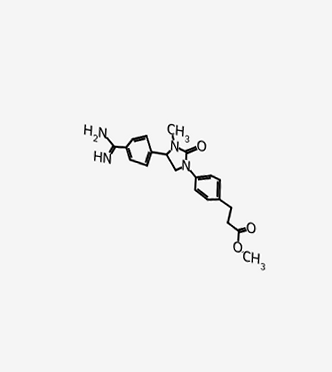 COC(=O)CCc1ccc(N2CC(c3ccc(C(=N)N)cc3)N(C)C2=O)cc1